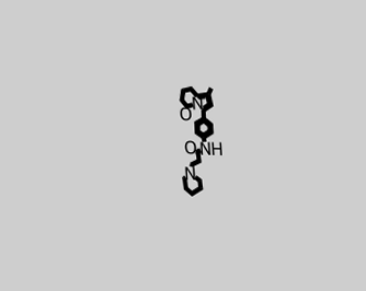 Cc1cc(-c2ccc(NC(=O)CCN3CCCCC3)cc2)n2c1CCCC2=O